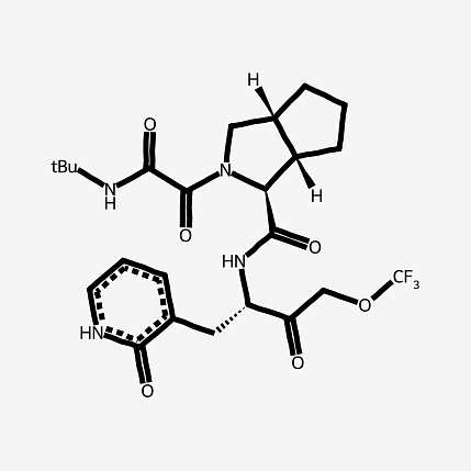 CC(C)(C)NC(=O)C(=O)N1C[C@@H]2CCC[C@@H]2[C@H]1C(=O)N[C@@H](Cc1ccc[nH]c1=O)C(=O)COC(F)(F)F